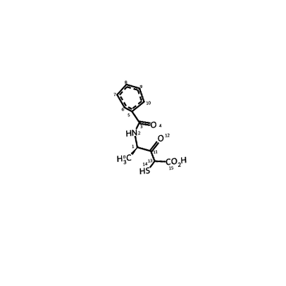 C[C@@H](NC(=O)c1ccccc1)C(=O)C(S)C(=O)O